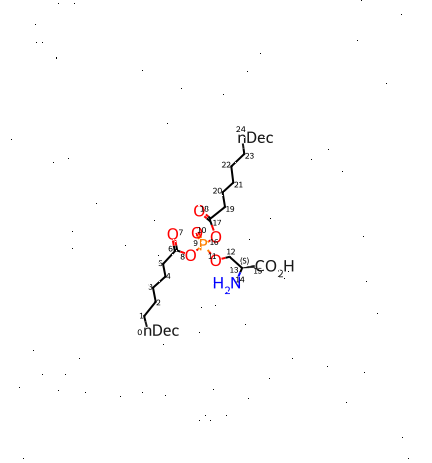 CCCCCCCCCCCCCCCC(=O)OP(=O)(OC[C@H](N)C(=O)O)OC(=O)CCCCCCCCCCCCCCC